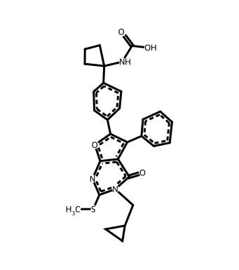 CSc1nc2oc(-c3ccc(C4(NC(=O)O)CCC4)cc3)c(-c3ccccc3)c2c(=O)n1CC1CC1